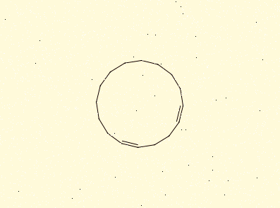 C1=CCCCCCCCCCCC=CCC1